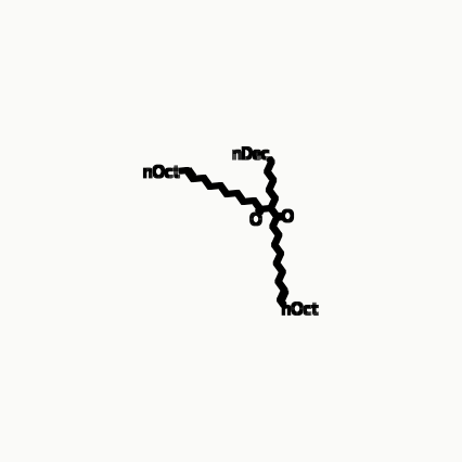 CCCCCCCCC=CCCCCCCCC(=O)C(CCCCCCCCCCCCCCC)C(=O)CCCCCCCC=CCCCCCCCC